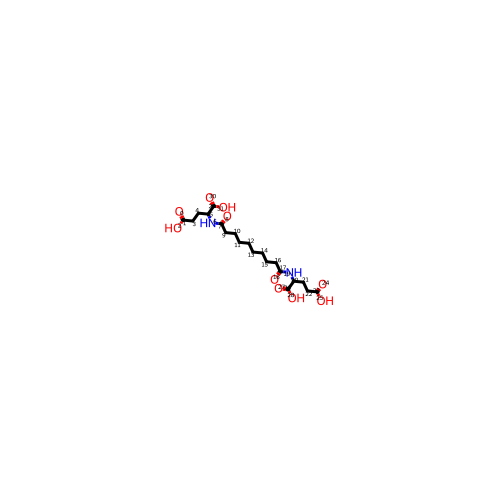 O=C(O)CCC(NC(=O)CCCCCCCCC(=O)NC(CCC(=O)O)C(=O)O)C(=O)O